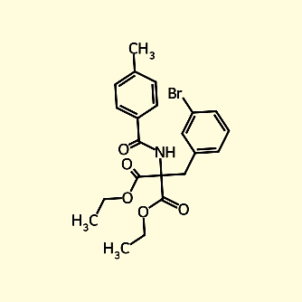 CCOC(=O)C(Cc1cccc(Br)c1)(NC(=O)c1ccc(C)cc1)C(=O)OCC